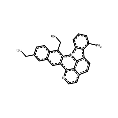 CC(C)(C)Cc1ccc2c(CC(C)(C)C)c3c(cc2c1)c1nccc2ccc4c5c(P)cccc5n3c4c21